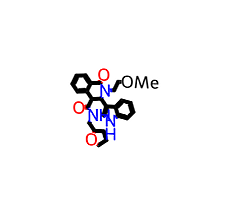 COCCN1C(=O)c2ccccc2C(C(=O)NCC2CCCO2)C1c1c[nH]c2ccccc12